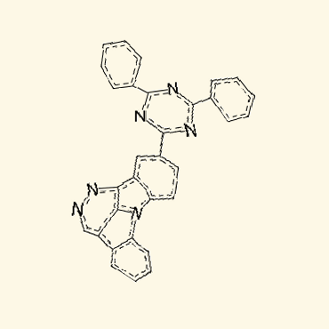 c1ccc(-c2nc(-c3ccccc3)nc(-c3ccc4c(c3)c3nncc5c6ccccc6n4c53)n2)cc1